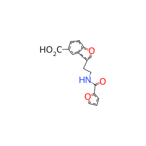 O=C(O)c1ccc2occ(CCNC(=O)c3ccco3)c2c1